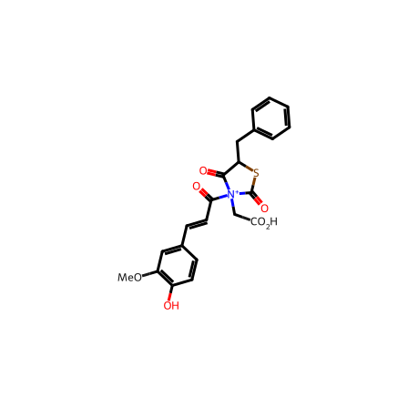 COc1cc(C=CC(=O)[N+]2(CC(=O)O)C(=O)SC(Cc3ccccc3)C2=O)ccc1O